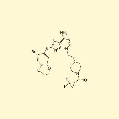 Nc1ncn(CCC2CCN(C(=O)C3CC3(F)F)CC2)c2nc(Sc3cc4c(cc3Br)OCCO4)nc1-2